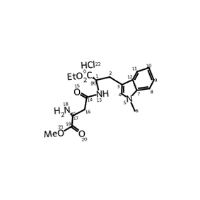 CCOC(=O)[C@@H](Cc1cn(C)c2ccccc12)NC(=O)C[C@H](N)C(=O)OC.Cl